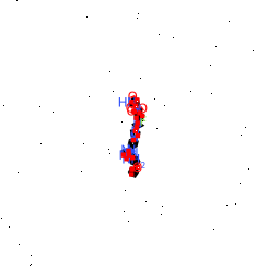 Nc1ncnc2c1c(-c1ccc(Oc3ccccc3)cc1)nn2C1CCC(N2CCN(C3CN(c4cc5c(cc4F)C(=O)N(C4CCC(=O)NC4=O)C5=O)C3)CC2)CC1